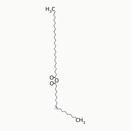 CCCCCCCC/C=C\CCCCCCCC(=O)OC(=O)CCCCCCCCCCCCCCCCCCCCCCCC